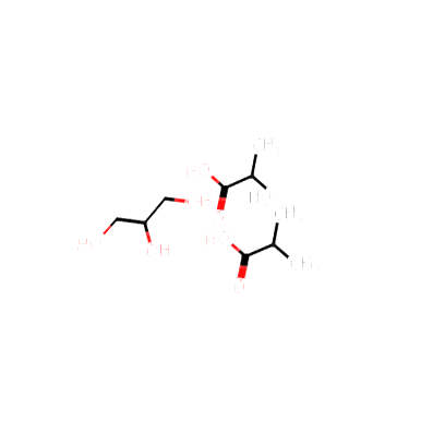 CC(C)C(=O)O.CC(C)C(=O)O.OCC(O)CO